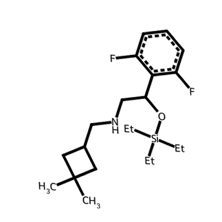 CC[Si](CC)(CC)OC(CNCC1CC(C)(C)C1)c1c(F)cccc1F